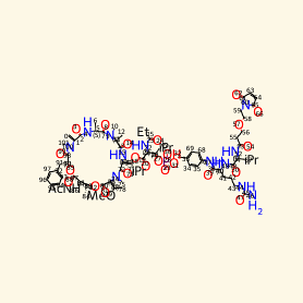 C=C1C(=O)N[C@@H](C)C(=O)N(C)[C@@H](C)C(=O)N[C@@H]([C@H](OC(=O)[C@@H](NC(=O)CC)[C@H](OP(=O)(O)OCc2ccc(NC(=O)[C@H](CCCNC(N)=O)NC(=O)[C@@H](NC(=O)CCOCCN3C(=O)C=CC3=O)C(C)C)cc2)C(C)C)C(C)C)C(=O)N(C)[C@@H]([C@@H](C)OC)C(=O)O[C@H](C)[C@H](NC(C)=O)C(=O)O[C@H](Cc2ccccc2)C(=O)N1C